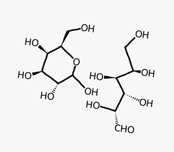 O=C[C@H](O)[C@@H](O)[C@@H](O)[C@H](O)CO.OC[C@H]1OC(O)[C@H](O)[C@@H](O)[C@H]1O